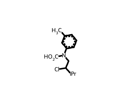 Cc1cccc(N(CC(Cl)C(C)C)C(=O)O)c1